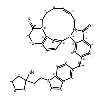 NC1(CCn2ccc3cc(Nc4ncc5c(=O)n6n(c5n4)-c4ccc5c(c4)N(CCC/C=C\C6)C(=O)CO5)ccc32)CCCC1